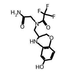 NC(=O)CN(CC1COc2ccc(O)cc2N1)C(=O)C(F)(F)F